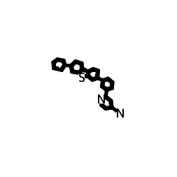 N#Cc1ccnc(-c2cccc(-c3ccc4c(c3)sc3cc(-c5ccccc5)ccc34)c2)c1